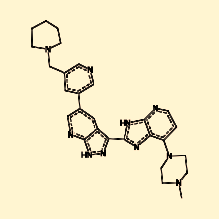 CN1CCN(c2ccnc3[nH]c(-c4n[nH]c5ncc(-c6cncc(CN7CCCCC7)c6)cc45)nc23)CC1